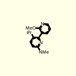 CNc1ccc(C(C)C)c(-c2cccnc2OC)n1